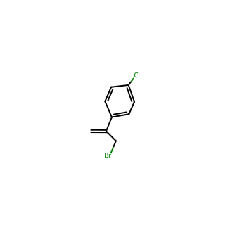 C=C(CBr)c1ccc(Cl)cc1